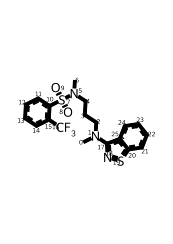 CN(CCCN(C)S(=O)(=O)c1ccccc1C(F)(F)F)c1nsc2ccccc12